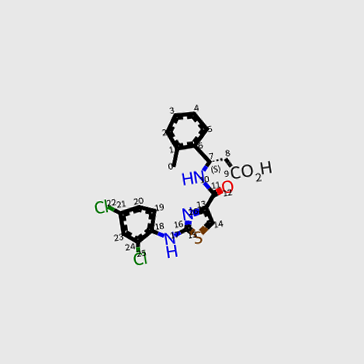 Cc1ccccc1[C@H](CC(=O)O)NC(=O)c1csc(Nc2ccc(Cl)cc2Cl)n1